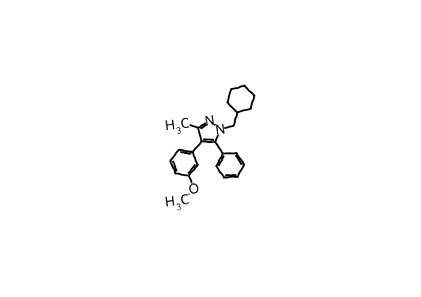 COc1cccc(-c2c(C)nn(CC3CCCCC3)c2-c2ccccc2)c1